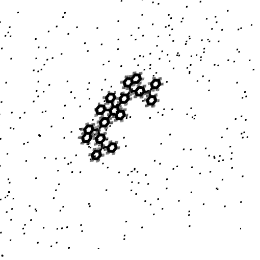 c1ccc(-c2c(-c3ccccc3)c(-c3ccc(N(c4ccc(N(c5ccccc5)c5ccccc5)cc4)c4cccc5ccccc45)cc3)c3ccccc3c2-c2ccc(N(c3ccc(N(c4ccccc4)c4ccccc4)cc3)c3cccc4ccccc34)cc2)cc1